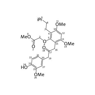 COC(=O)COc1c(CCC(C)C)c(OC)cc(OC)c1CC(=O)Cc1ccc(O)c(OC)c1